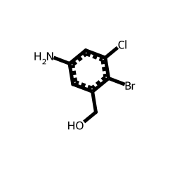 Nc1cc(Cl)c(Br)c(CO)c1